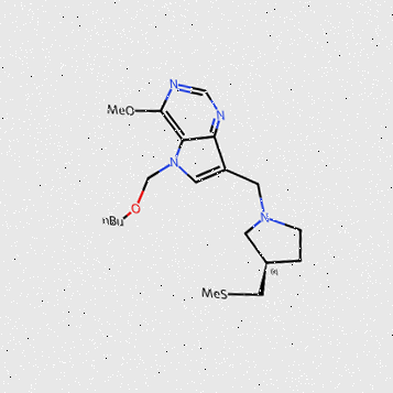 CCCCOCn1cc(CN2CC[C@@H](CSC)C2)c2ncnc(OC)c21